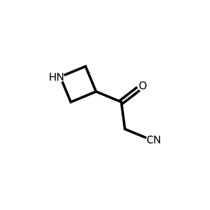 N#CCC(=O)C1CNC1